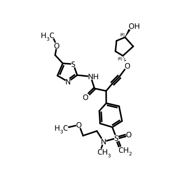 C=S(=O)(c1ccc(C(C#CO[C@@H]2CC[C@@H](O)C2)C(=O)Nc2ncc(COC)s2)cc1)N(C)CCOC